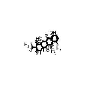 CC1c2c(N)ccc(O)c2C(=O)C2=C(O)[C@]3(O)C(=O)C(C(N)=O)=C(O)C[C@@H]3[C@@H](O)[C@@H]21